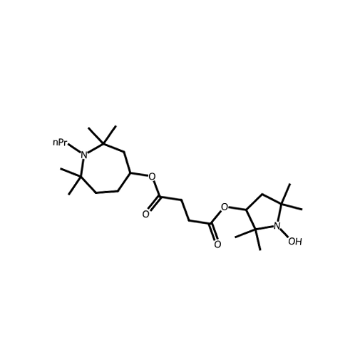 CCCN1C(C)(C)CCC(OC(=O)CCC(=O)OC2CC(C)(C)N(O)C2(C)C)CC1(C)C